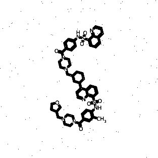 Cc1cc(C(=O)N2CCN(CC3CCOC3)CC2)ccc1NS(=O)(=O)c1cccc2c(C3CCCC(CN4CCN(C(=O)c5ccc(NS(=O)(=O)c6cccc7cccnc67)cc5)CC4)C3)ccnc12